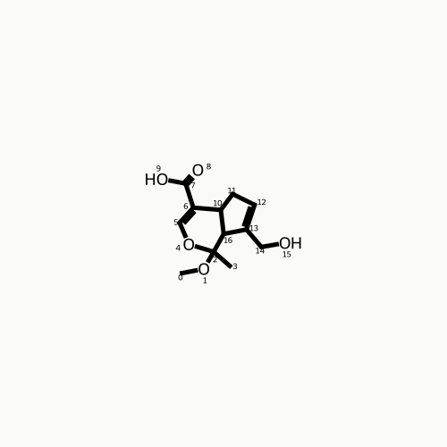 COC1(C)OC=C(C(=O)O)C2CC=C(CO)C21